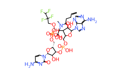 C=CCCC(=O)N(C)[C@](COCC(F)(F)C(F)F)(C(=O)O)C1C(COP(=O)(O)O[C@H]2[C@@H](O)[C@H](n3ccc(N)nc3=O)O[C@@H]2COP(=O)(O)O)OC(n2cnc3c(N)ncnc32)C1O